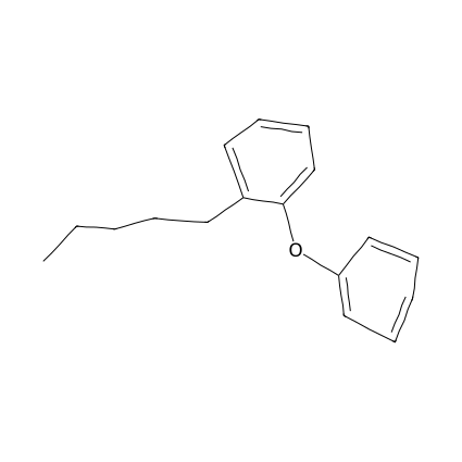 CCCCCc1ccccc1Oc1ccccc1